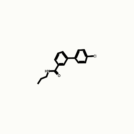 CCCNC(=O)c1cccc(-c2ccc(Cl)cc2)c1